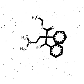 CCOC(=O)C(CCN(C)C)(c1ccccc1)C(O)c1ccccc1